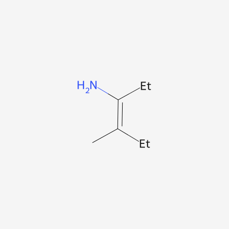 CC/C(C)=C(/N)CC